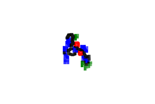 O=C(c1nnc(-c2ccn(C(F)(F)F)n2)o1)N1CCc2[nH]cnc2[C@H]1c1cc2c(F)cccn2n1